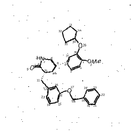 COc1ccc([C@H]2CNC(=O)[C@@H](Cc3cccc(OCc4ccccc4)c3)C2)cc1OC1CCCC1